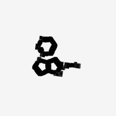 CC(N)=O.c1cc2sccc2[nH]1.c1cnnnc1